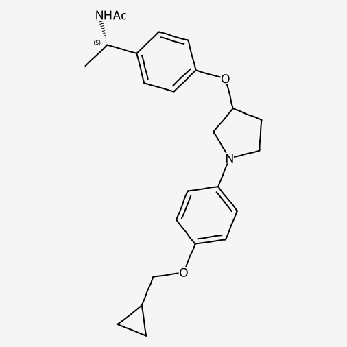 CC(=O)N[C@@H](C)c1ccc(OC2CCN(c3ccc(OCC4CC4)cc3)C2)cc1